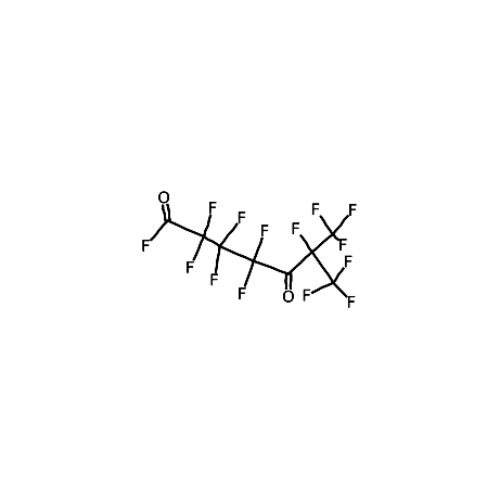 O=C(F)C(F)(F)C(F)(F)C(F)(F)C(=O)C(F)(C(F)(F)F)C(F)(F)F